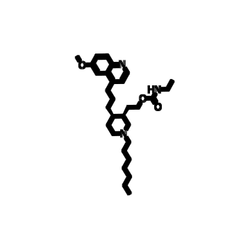 CCCCCCCN1CC[C@@H](CCCc2ccnc3ccc(OC)cc23)[C@@H](CCOC(=O)NCC)C1